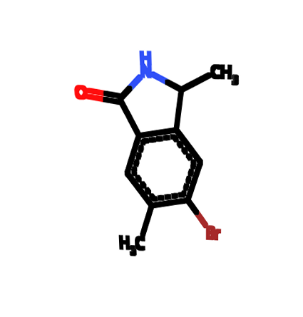 Cc1cc2c(cc1Br)C(C)NC2=O